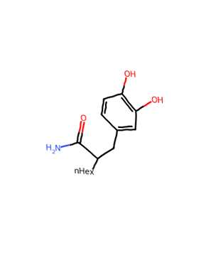 CCCCCCC(Cc1ccc(O)c(O)c1)C(N)=O